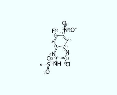 CS(=O)(=O)Nc1nc2cc(F)c([N+](=O)[O-])cc2nc1Cl